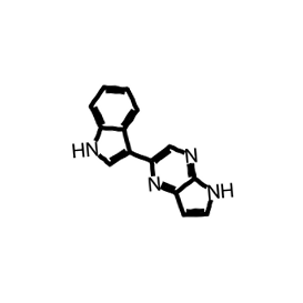 c1ccc2c(-c3cnc4[nH]ccc4n3)c[nH]c2c1